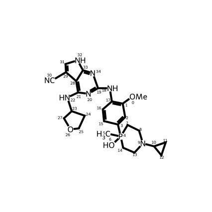 COc1cc(P2(C)(O)CCN(C3CC3)CC2)ccc1Nc1nc(NC2CCOC2)c2c(C#N)c[nH]c2n1